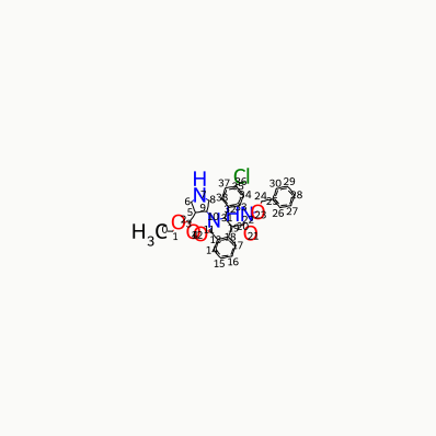 CCOC(=O)C1CNCC1N1C(=O)c2ccccc2C(C(=O)NOCc2ccccc2)C1c1ccc(Cl)cc1